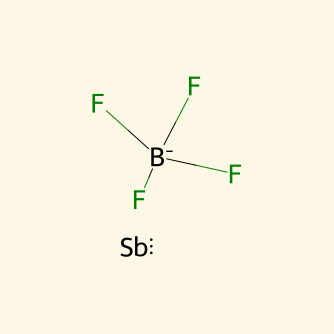 F[B-](F)(F)F.[Sb]